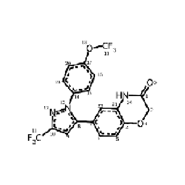 O=C1COc2ccc(-c3cc(C(F)(F)F)nn3-c3ccc(OC(F)(F)F)cc3)cc2N1